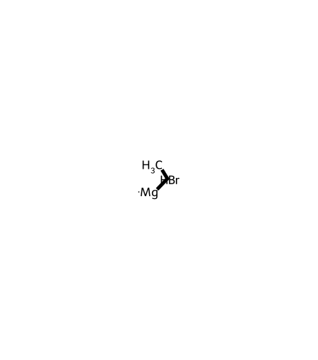 Br.C[CH2][Mg]